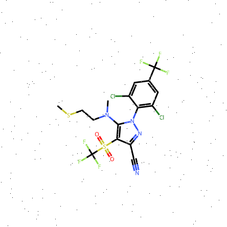 CSCCN(C)c1c(S(=O)(=O)C(F)(F)F)c(C#N)nn1-c1c(Cl)cc(C(F)(F)F)cc1Cl